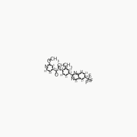 COc1cc(C(=O)N(C)c2ccc(-c3ncc4cc(C(F)(F)F)ccc4n3)cc2C)ccn1